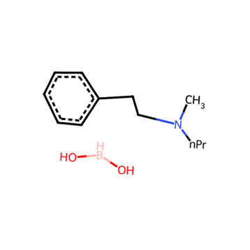 CCCN(C)CCc1ccccc1.OBO